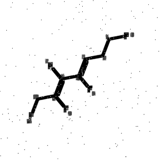 FCCC=C(F)C(F)=C(F)CF